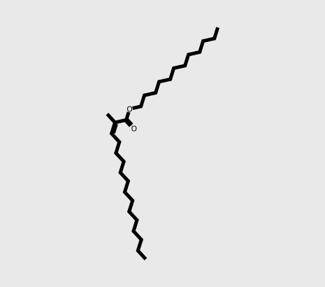 CCCCCCCCCCCCCC=C(C)C(=O)OCCCCCCCCCCCC